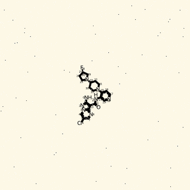 Nc1nn2cc(Cl)cnc2c1C(=O)Nc1cnccc1N1CCC(N2CC[C@@H](F)C2)CC1